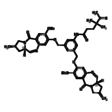 C=C1C[C@H]2C=Nc3cc(OCc4cc(COc5cc6c(cc5OC)C(=O)N5CC(=C)C[C@H]5C=N6)cc(NC(=O)CCC(C)(C)S(C)=S)c4)c(OC)cc3C(=O)N2C1